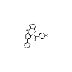 O=C1CCC(C(=O)N2Cc3cccnc3Nc3ccc(C4=COCCO4)cc32)CC1